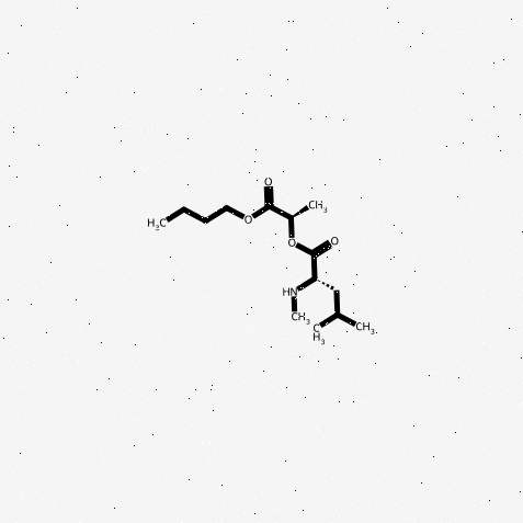 CCCCOC(=O)[C@@H](C)OC(=O)[C@H](CC(C)C)NC